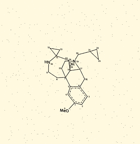 COc1ccc2c(c1)C13CCNC4(CC4)CC1(O)C(C2)N(CC1CC1)CC3